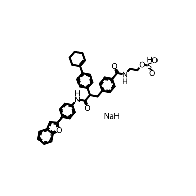 O=C(NCCO[SH](=O)=O)c1ccc(CC(C(=O)Nc2ccc(-c3cc4ccccc4o3)cc2)c2ccc(C3=CCCCC3)cc2)cc1.[NaH]